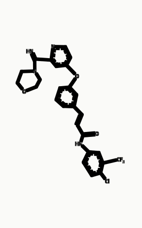 N=C(c1cc(Oc2cccc(/C=C/C(=O)Nc3ccc(Cl)c(C(F)(F)F)c3)c2)ccn1)N1CCOCC1